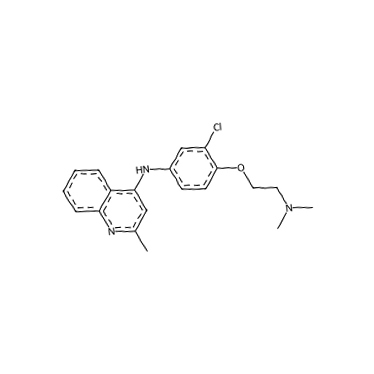 Cc1cc(Nc2ccc(OCCN(C)C)c(Cl)c2)c2ccccc2n1